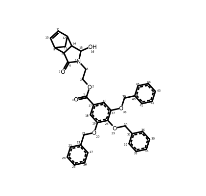 O=C(OCCN1C(=O)C2C3C=CC(C3)C2C1O)c1cc(OCc2ccccc2)c(OCc2ccccc2)c(OCc2ccccc2)c1